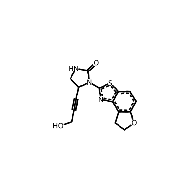 O=C1NCC(C#CCO)N1c1nc2c3c(ccc2s1)OCC3